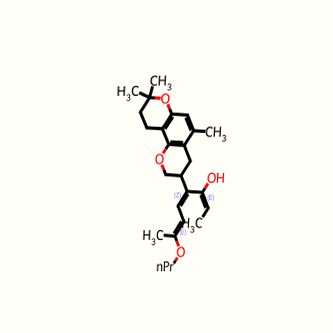 C\C=C(O)/C(=C\C=C(/C)OCCC)C1COc2c(c(C)cc3c2CCC(C)(C)O3)C1